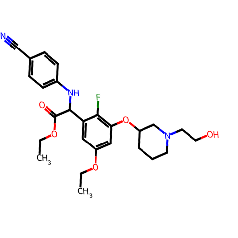 CCOC(=O)C(Nc1ccc(C#N)cc1)c1cc(OCC)cc(OC2CCCN(CCO)C2)c1F